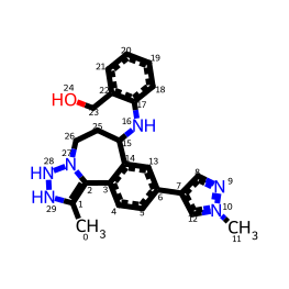 CC1=C2c3ccc(-c4cnn(C)c4)cc3C(Nc3ccccc3CO)CCN2NN1